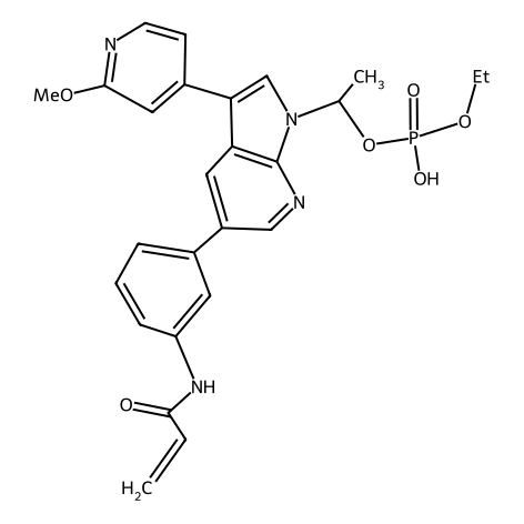 C=CC(=O)Nc1cccc(-c2cnc3c(c2)c(-c2ccnc(OC)c2)cn3C(C)OP(=O)(O)OCC)c1